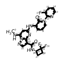 CNc1cc(Nc2cccn(-c3ncccc3F)c2=O)nc2c(C(=O)N[C@H]3CCC3(F)F)cnn12